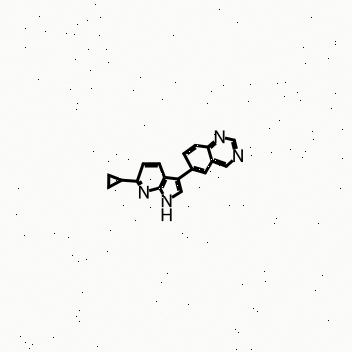 c1ncc2cc(-c3c[nH]c4nc(C5CC5)ccc34)ccc2n1